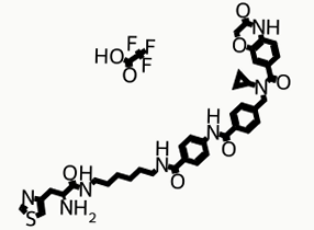 N[C@@H](Cc1cscn1)C(=O)NCCCCCCNC(=O)c1ccc(NC(=O)c2ccc(CN(C(=O)c3ccc4c(c3)OCC(=O)N4)C3CC3)cc2)cc1.O=C(O)C(F)(F)F